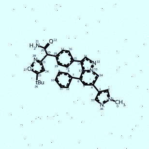 Cn1cc(-c2cc(-c3ccccc3)c3c(-c4ccc(C(C(N)=O)c5cc(C(C)(C)C)on5)cc4)cnn3c2)cn1